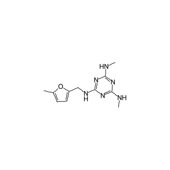 CNc1nc(NC)nc(NCc2ccc(C)o2)n1